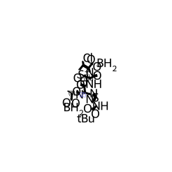 BOC(=O)C1=C(CCl)C[S+]([O-])[C@@H]2[C@H](NC(=O)/C(=N\O[C@H](C)C(=O)OB)c3nsc(NC(=O)OC(C)(C)C)n3)C(=O)N12